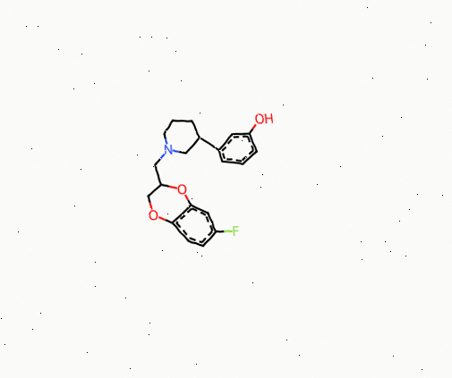 Oc1cccc(C2CCCN(CC3COc4ccc(F)cc4O3)C2)c1